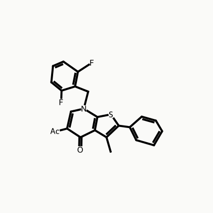 CC(=O)c1cn(Cc2c(F)cccc2F)c2sc(-c3ccccc3)c(C)c2c1=O